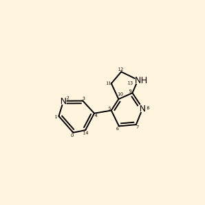 c1cncc(-c2ccnc3c2CCN3)c1